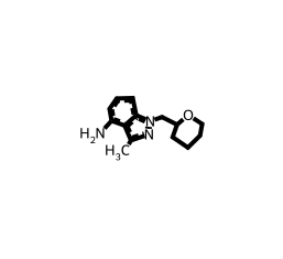 Cc1nn(CC2CCCCO2)c2cccc(N)c12